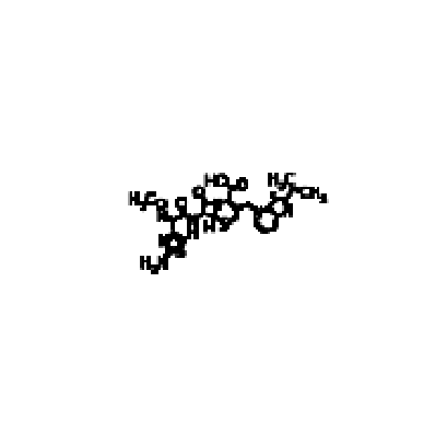 CO/N=C(\C(=O)NC1C(=O)N2C(C(=O)O)=C(CN3C=CC=C4N=C(C(C)C)SC43)CS[C@H]12)c1csc(N)n1